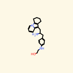 NC(Cc1ccc(NCCO)cc1)Cc1c2c(n3ccccc13)CCCC2